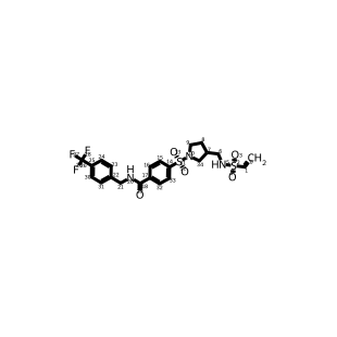 C=CS(=O)(=O)NCC1CCN(S(=O)(=O)c2ccc(C(=O)NCc3ccc(C(F)(F)F)cc3)cc2)C1